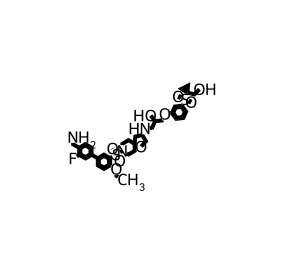 CCOc1ccc(-c2ccc(CN)c(F)c2)cc1S(=O)(=O)N1CCC2(CC1)CC(NCC(O)COc1cccc(S(=O)(=O)C3(CO)CC3)c1)CO2